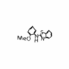 COc1ccccc1Nc1nc2ccccc2s1